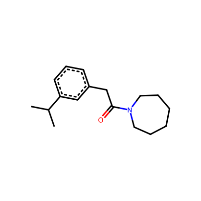 CC(C)c1cccc(CC(=O)N2CCCCCC2)c1